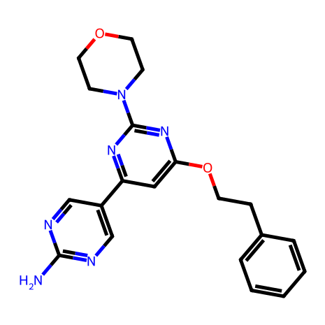 Nc1ncc(-c2cc(OCCc3ccccc3)nc(N3CCOCC3)n2)cn1